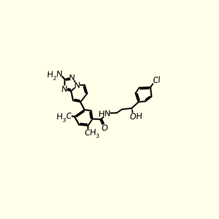 Cc1cc(C)c(-c2ccn3nc(N)nc3c2)cc1C(=O)NCC[C@H](O)c1ccc(Cl)cc1